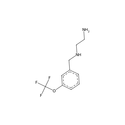 NCCNCc1cccc(OC(F)(F)F)c1